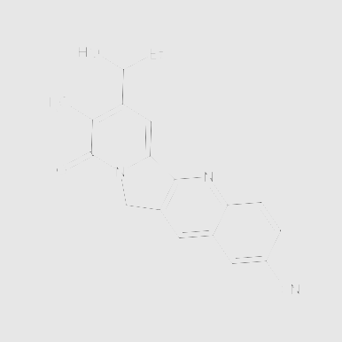 CCC(O)c1cc2n(c(=O)c1C)Cc1cc3cc(C#N)ccc3nc1-2